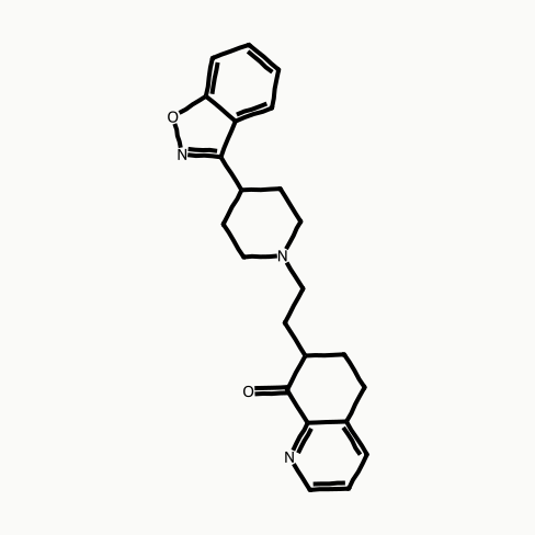 O=C1c2ncccc2CCC1CCN1CCC(c2noc3ccccc23)CC1